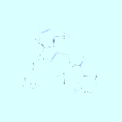 COCCCn1cc(CN(C(=O)C2CNCCO2)C2CC2)c2c(Br)ccnc21